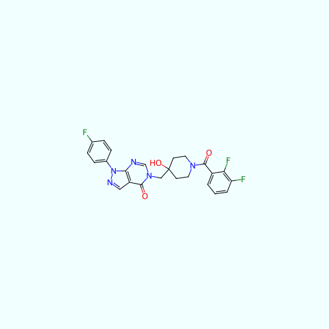 O=C(c1cccc(F)c1F)N1CCC(O)(Cn2cnc3c(cnn3-c3ccc(F)cc3)c2=O)CC1